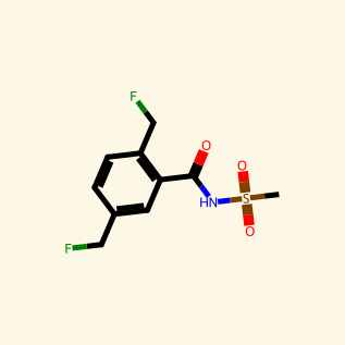 CS(=O)(=O)NC(=O)c1cc(CF)ccc1CF